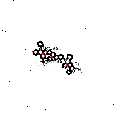 CCCCCCCCC1(CCCCCCCC)c2cc(N(c3ccccc3)c3ccccc3-c3ccc4c(c3)C(C)(C)OC43CCCC3)ccc2-c2cc3c(cc21)-c1ccc(N(c2ccccc2)c2ccccc2-c2ccc4c(c2)C(C)(C)OC42CCCC2)cc1C3(CCCCCCCC)CCCCCCCC